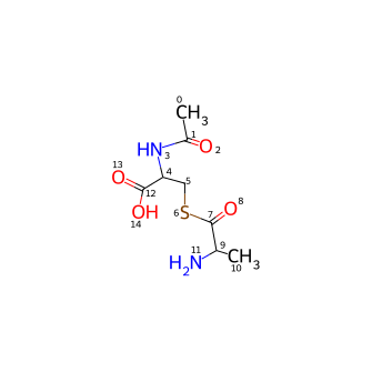 CC(=O)NC(CSC(=O)C(C)N)C(=O)O